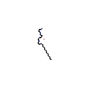 C=CCCCCCCCCCC1=NC(=Cc2[nH]c(-c3ccc(C)[nH]3)c(C(=O)OCC)c2OCC)C=C1